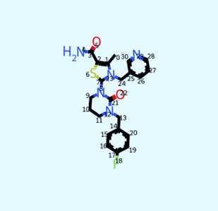 CC1=C(C(N)=O)SC(N2CCCN(Cc3ccc(F)cc3)C2=O)N1Cc1cccnc1